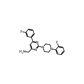 NCc1cc(-c2cccc(F)c2)nc(N2CCN(c3ccccc3F)CC2)n1